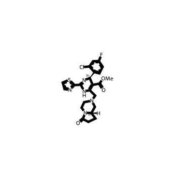 COC(=O)C1=C(CN2CCN3C(=O)CC[C@H]3C2)NC(c2nccs2)=N[C@H]1c1ccc(F)cc1Cl